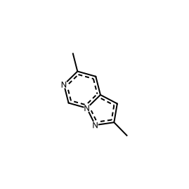 Cc1cc2cc(C)nn2cn1